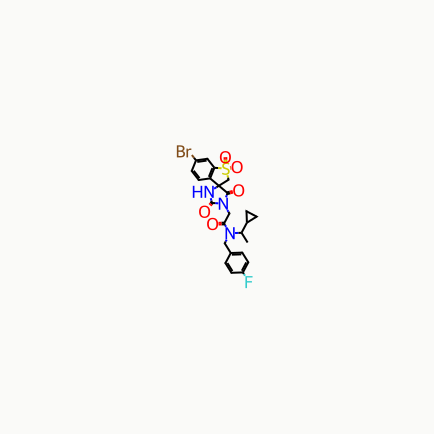 CC(C1CC1)N(Cc1ccc(F)cc1)C(=O)CN1C(=O)NC2(CS(=O)(=O)c3cc(Br)ccc32)C1=O